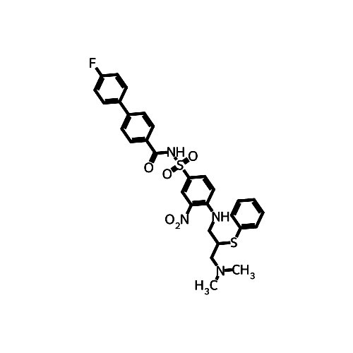 CN(C)CC(CNc1ccc(S(=O)(=O)NC(=O)c2ccc(-c3ccc(F)cc3)cc2)cc1[N+](=O)[O-])Sc1ccccc1